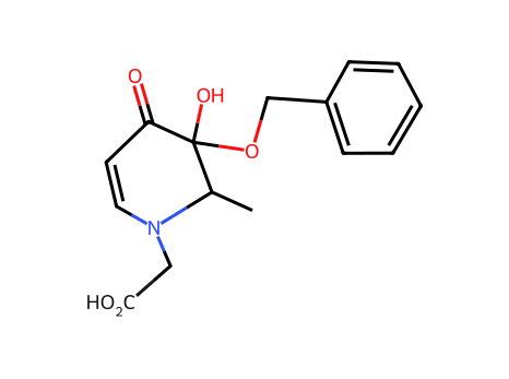 CC1N(CC(=O)O)C=CC(=O)C1(O)OCc1ccccc1